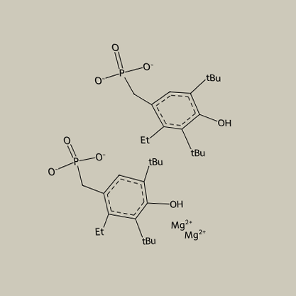 CCc1c(CP(=O)([O-])[O-])cc(C(C)(C)C)c(O)c1C(C)(C)C.CCc1c(CP(=O)([O-])[O-])cc(C(C)(C)C)c(O)c1C(C)(C)C.[Mg+2].[Mg+2]